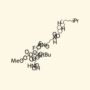 COc1ccc(C(OC[C@H]2O[C@@H](c3cc(CNC(=O)CCCCCNC(=O)O[C@H]4CC[C@@]5(C)C(CCC6[C@@H]7CC[C@H]([C@H](C)CCCC(C)C)[C@@]7(C)CC[C@@H]65)C4)c(F)cc3F)C(O[Si](C)(C)C(C)(C)C)[C@H]2OC(=O)CCC(=O)NO)(c2ccccc2)c2ccccc2)cc1